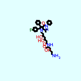 CC(C)c1c(C(=O)Nc2ccccc2)c(-c2ccccc2)c(-c2ccc(F)cc2)n1CC[C@@H](O)C[C@@H](O)CC(=O)NC(CCCCN)C(=O)O